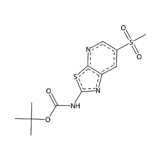 CC(C)(C)OC(=O)Nc1nc2cc(S(C)(=O)=O)cnc2s1